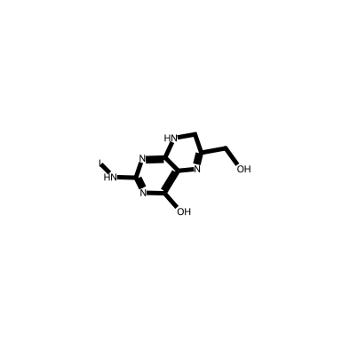 OCC1=Nc2c(O)nc(NI)nc2NC1